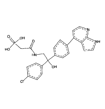 O=C(CP(=O)(O)O)NCC(O)(c1ccc(Cl)cc1)c1ccc(-c2ccnc3[nH]ccc23)cc1